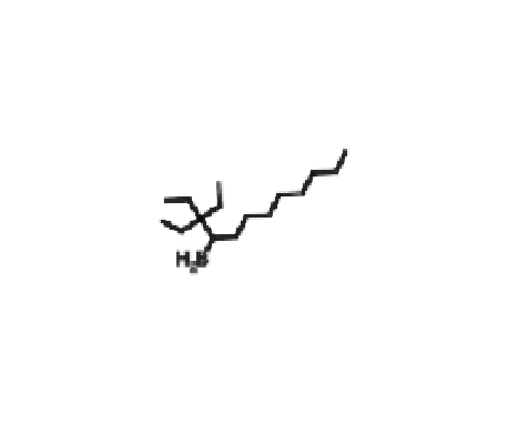 BC(CCCCCCCC)C(CC)(CC)CC